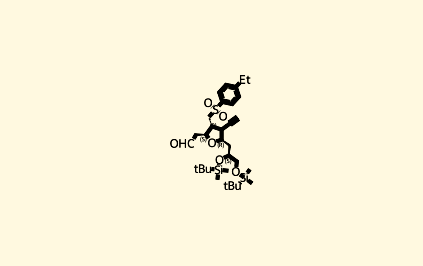 C#CC1[C@@H](CS(=O)(=O)c2ccc(CC)cc2)[C@H](CC=O)O[C@@H]1C[C@@H](CO[Si](C)(C)C(C)(C)C)O[Si](C)(C)C(C)(C)C